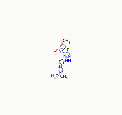 COc1ccc2c(c1)c(C=O)cn2-c1nc(Nc2cccc(N3CCN(C(C)C)CC3)c2)ncc1F